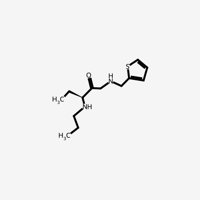 CCCN[C@@H](CC)C(=O)CNCc1cccs1